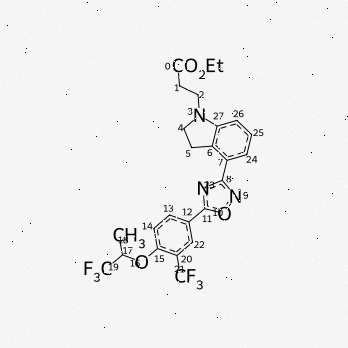 CCOC(=O)CCN1CCc2c(-c3noc(-c4ccc(OC(C)C(F)(F)F)c(C(F)(F)F)c4)n3)cccc21